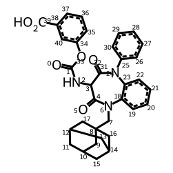 O=C(NC1C(=O)N(CC23CC4CC(CC(C4)C2)C3)c2ccccc2N(c2ccccc2)C1=O)Oc1cccc(C(=O)O)c1